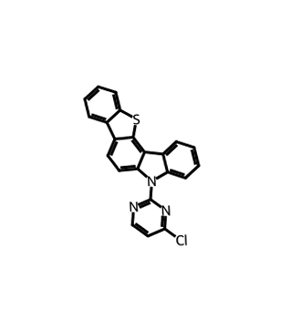 Clc1ccnc(-n2c3ccccc3c3c4sc5ccccc5c4ccc32)n1